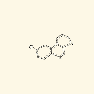 Clc1ccc2ncc3ncccc3c2c1